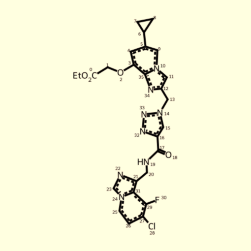 CCOC(=O)COc1cc(C2CC2)cn2cc(Cn3cc(C(=O)NCc4ncn5ccc(Cl)c(F)c45)nn3)nc12